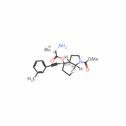 CC[C@H](C)[C@H](N)C(=O)O[C@@]1(C#Cc2cccc(C)c2)CCC[C@@H]2[C@H]1CCN2C(=O)OC